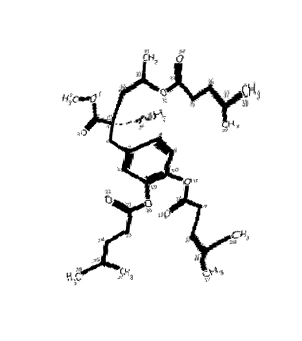 COC(=O)[C@](N)(Cc1ccc(OC(=O)CCC(C)C)c(OC(=O)CCC(C)C)c1)CC(C)OC(=O)CCC(C)C